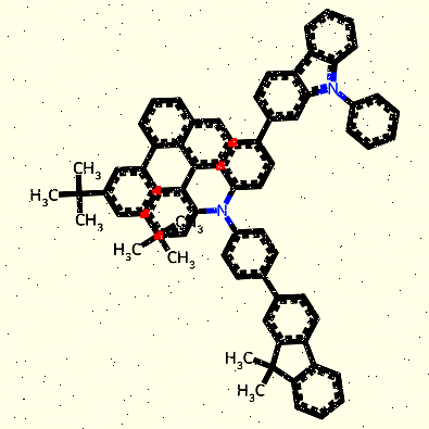 CC(C)(C)c1cc(-c2cccc3cccc(-c4ccccc4N(c4ccc(-c5ccc6c(c5)C(C)(C)c5ccccc5-6)cc4)c4ccc(-c5ccc6c7ccccc7n(-c7ccccc7)c6c5)cc4)c23)cc(C(C)(C)C)c1